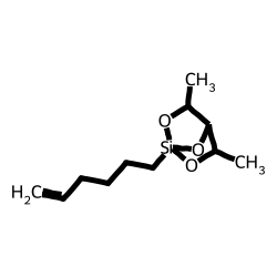 C=CCCCC[Si]12OC(C)C(O1)C(C)O2